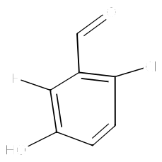 O=Cc1c(Cl)ccc(O)c1F